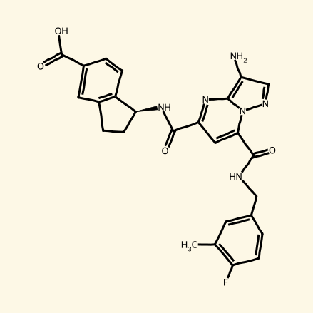 Cc1cc(CNC(=O)c2cc(C(=O)N[C@H]3CCc4cc(C(=O)O)ccc43)nc3c(N)cnn23)ccc1F